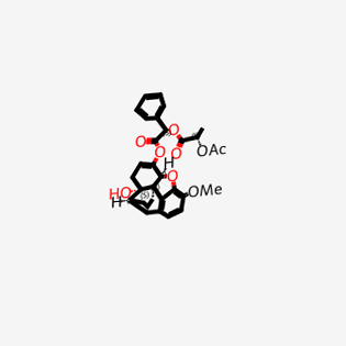 COc1ccc2c3c1O[C@@H]1C(OC(=O)[C@@H](OC(=O)[C@H](C)OC(C)=O)c4ccccc4)=CC[C@]4(O)[C@@H](CCC[C@@]314)C2